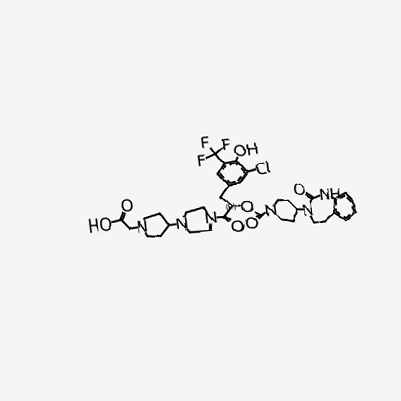 O=C(O)CN1CCC(N2CCN(C(=O)[C@@H](Cc3cc(Cl)c(O)c(C(F)(F)F)c3)OC(=O)N3CCC(N4CCc5ccccc5NC4=O)CC3)CC2)CC1